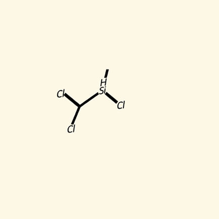 C[SiH](Cl)C(Cl)Cl